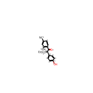 CCOC(=O)C(C(=O)c1ccc(C#N)cc1C)c1ccc(O)cc1